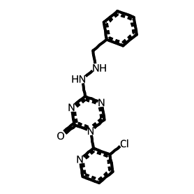 O=c1nc(NNCc2ccccc2)ncn1-c1ncccc1Cl